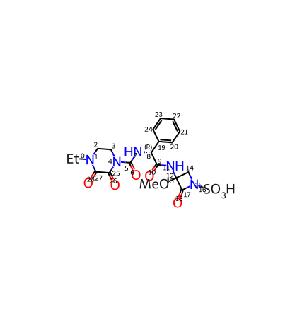 CCN1CCN(C(=O)N[C@@H](C(=O)NC2(OC)CN(S(=O)(=O)O)C2=O)c2ccccc2)C(=O)C1=O